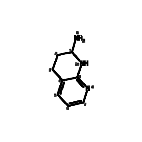 NC1CCc2cccnc2N1